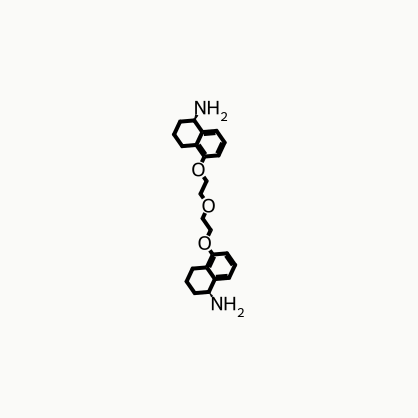 N[C@@H]1CCCc2c(OCCOCCOc3cccc4c3CCC[C@H]4N)cccc21